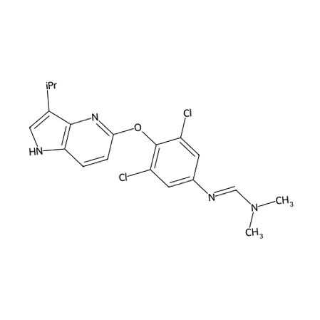 CC(C)c1c[nH]c2ccc(Oc3c(Cl)cc(/N=C/N(C)C)cc3Cl)nc12